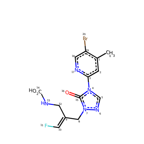 Cc1cc(-n2cnn(CC(=CF)CNC(=O)O)c2=O)ncc1Br